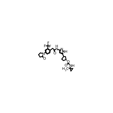 CC1(NC(=O)O[C@H]2CCC(c3cc(NC(=O)Cc4ccc(N5CCCC5=O)cc4C(F)(F)F)n[nH]3)C2)CC1